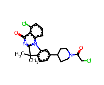 CC1(C)c2ccc(C3CCN(C(=O)CCl)CC3)cc2-n2c1nc(=O)c1c(Cl)cccc12